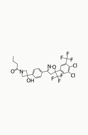 CCCC(=O)N1CC(O)(c2ccc(C3=NOC(c4cc(Cl)c(Cl)c(C(F)(F)F)c4)(C(F)(F)F)C3)cc2)C1